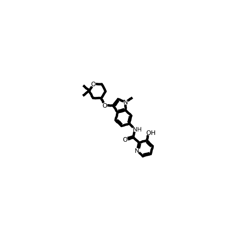 Cn1cc(OC2CCOC(C)(C)C2)c2ccc(NC(=O)c3ncccc3O)cc21